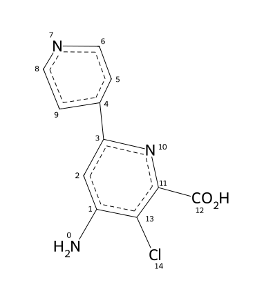 Nc1cc(-c2ccncc2)nc(C(=O)O)c1Cl